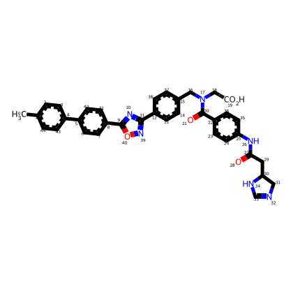 Cc1ccc(-c2ccc(-c3nc(-c4ccc(CN(CC(=O)O)C(=O)c5ccc(NC(=O)CC6CN=CN6)cc5)cc4)no3)cc2)cc1